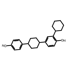 Oc1ccc(C2CCC(c3ccc(O)c(C4CCCCC4)c3)CC2)cc1